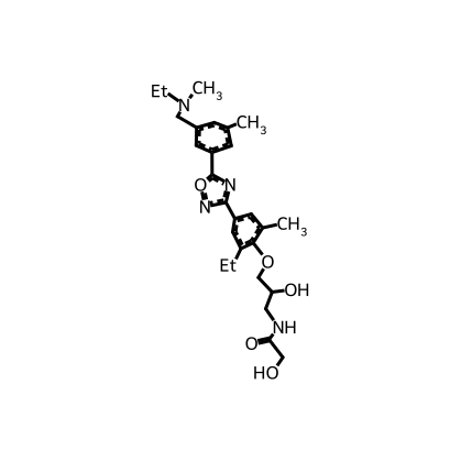 CCc1cc(-c2noc(-c3cc(C)cc(CN(C)CC)c3)n2)cc(C)c1OCC(O)CNC(=O)CO